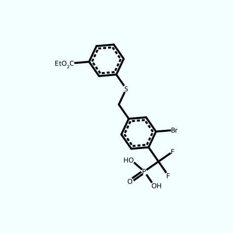 CCOC(=O)c1cccc(SCc2ccc(C(F)(F)P(=O)(O)O)c(Br)c2)c1